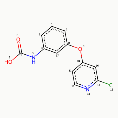 O=C(O)Nc1cccc(Oc2ccnc(Cl)c2)c1